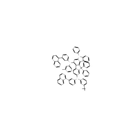 [2H]C([2H])([2H])c1cccc(N(c2cccc(-c3cccc4ccccc34)c2)c2ccc3c(c2)C(c2ccccc2)(c2ccccc2)c2c-3c(N(c3cccc(C)c3)c3cccc(-c4cccc5ccccc45)c3)cc3c2c2ccccc2n3-c2ccccc2)c1